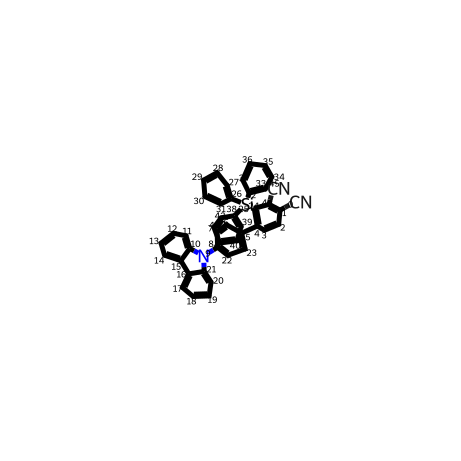 N#Cc1ccc(-c2ccc(-n3c4ccccc4c4ccccc43)cc2)c([Si](c2ccccc2)(c2ccccc2)c2ccccc2)c1C#N